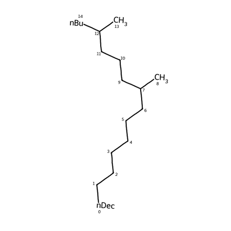 CCCCCCCCCCCCCCCCC(C)CCCC(C)CCCC